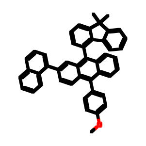 COc1ccc(-c2c3ccccc3c(-c3cccc4c3-c3ccccc3C4(C)C)c3cc(-c4cccc5ccccc45)ccc23)cc1